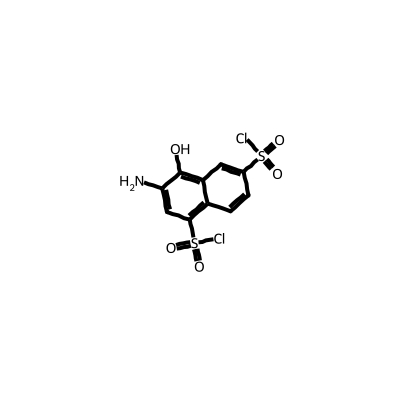 Nc1cc(S(=O)(=O)Cl)c2ccc(S(=O)(=O)Cl)cc2c1O